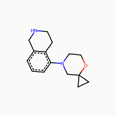 c1cc2c(c(N3CCOC4(CC4)C3)c1)CCNC2